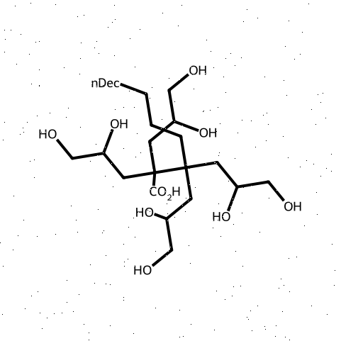 CCCCCCCCCCCCCC(CC(O)CO)(CC(O)CO)C(CC(O)CO)(CC(O)CO)C(=O)O